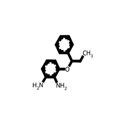 CCC(Oc1cccc(N)c1N)c1ccccc1